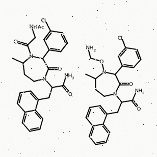 CC(=O)NCC(=O)N1C(C)CCN(C(Cc2cccc3ccccc23)C(N)=O)C(=O)C1c1cccc(Cl)c1.CC1CCN(C(Cc2cccc3ccccc23)C(N)=O)C(=O)C(c2cccc(Cl)c2)N1OCN